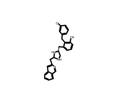 N#Cc1cccc(C[C@H]2CNC(Cc3cc4ccccc4cn3)N2)c1Cc1cccc(Cl)c1